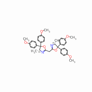 COc1ccc(C2(c3ccc(OC)cc3)OC(CC3=N[C@H](C)C(c4ccc(OC)cc4)(c4ccc(OC)cc4)O3)=N[C@@H]2C)cc1